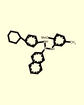 COc1ccc(C)cc1NN(Nc1ccc(C2CCCCC2)cc1)c1ccc2ccccc2c1